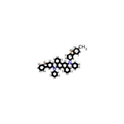 CC1C=Cc2c(sc3c2CC(N(c2ccccc2)c2cc4c5ccccc5c(N(c5ccccc5)c5ccc6sc7ccccc7c6c5)cc4c4ccccc24)C=C3)C1